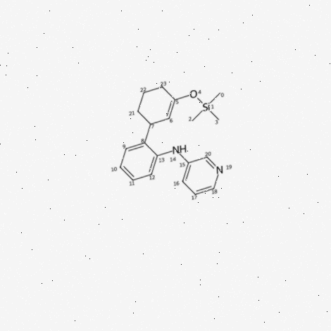 C[Si](C)(C)OC1=CC(c2ccccc2Nc2cccnc2)CCC1